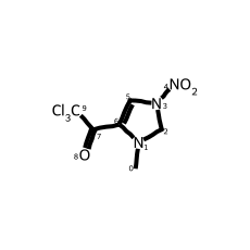 CN1CN([N+](=O)[O-])C=C1C(=O)C(Cl)(Cl)Cl